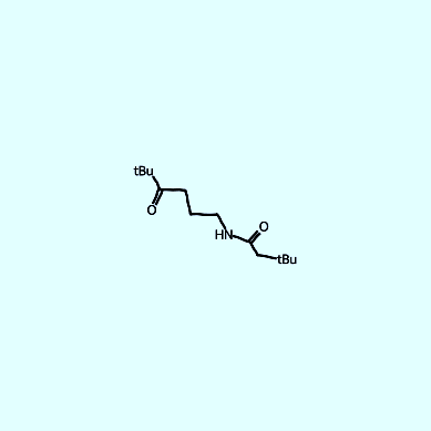 CC(C)(C)CC(=O)NCCCC(=O)C(C)(C)C